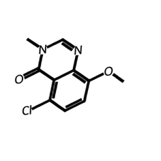 COc1ccc(Cl)c2c(=O)n(C)cnc12